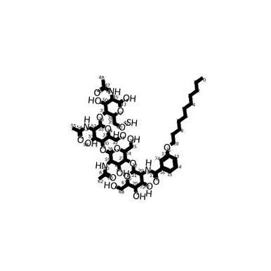 CCCCCCCCCCCOc1cccc(C(=O)NC2C(OC3C(CO)OC(OC4C(CO)OC(OC5C(COS)OC(O)C(NC(C)=O)C5O)C(NC(C)=O)C4O)C(NC(C)=O)C3O)OC(CO)C(O)C2O)c1